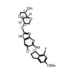 COc1cc(F)c2c(c1)CC[C@@H]2Nc1nc2nc(O[C@@H]3CO[C@H]4[C@@H]3OC[C@H]4O)[nH]c2cc1Cl